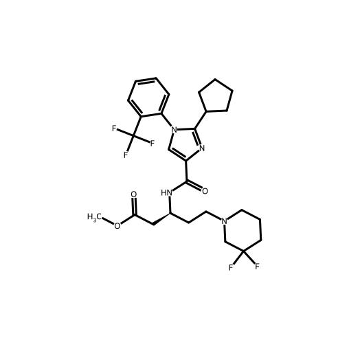 COC(=O)C[C@H](CCN1CCCC(F)(F)C1)NC(=O)c1cn(-c2ccccc2C(F)(F)F)c(C2CCCC2)n1